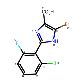 O=C(O)c1nc(-c2c(F)cccc2Cl)[nH]c1Br